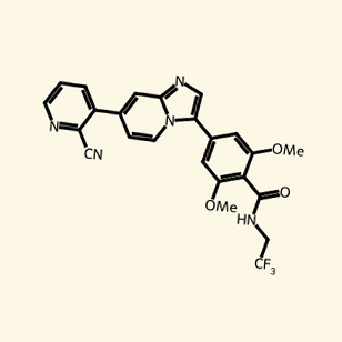 COc1cc(-c2cnc3cc(-c4cccnc4C#N)ccn23)cc(OC)c1C(=O)NCC(F)(F)F